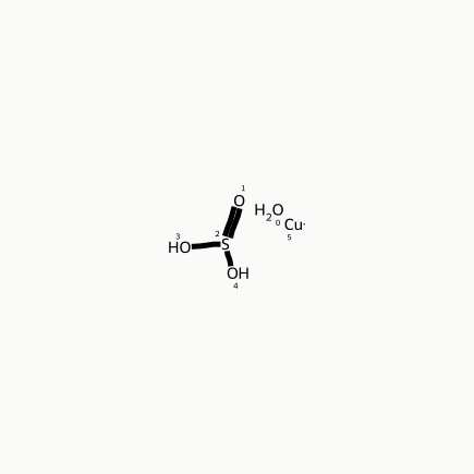 O.O=S(O)O.[Cu]